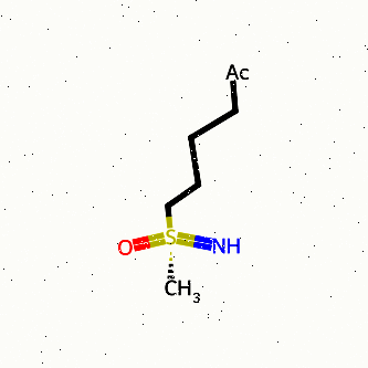 CC(=O)CCCC[S@@](C)(=N)=O